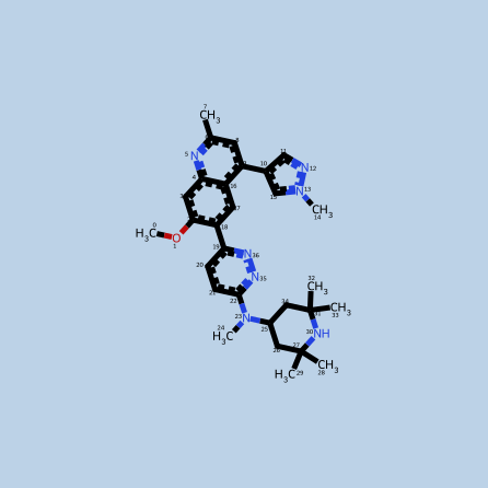 COc1cc2nc(C)cc(-c3cnn(C)c3)c2cc1-c1ccc(N(C)C2CC(C)(C)NC(C)(C)C2)nn1